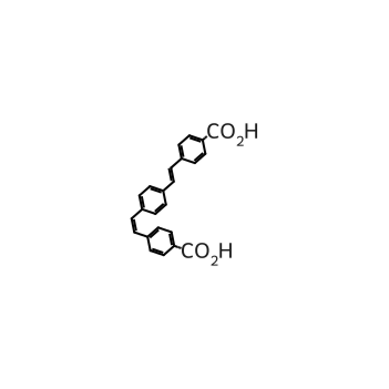 O=C(O)c1ccc(/C=C\c2ccc(/C=C/c3ccc(C(=O)O)cc3)cc2)cc1